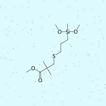 COC(=O)C(C)(C)CSCCC[Si](C)(OC)OC